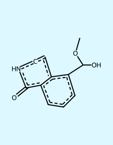 COC(O)c1cccc2c(=O)[nH]ccc12